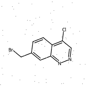 Clc1cnnc2cc(CBr)ccc12